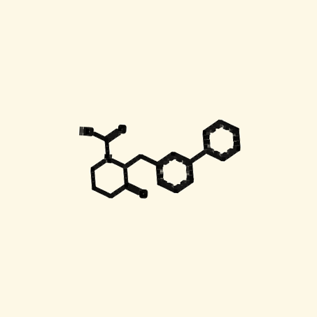 O=C1CCCN(C(=O)O)C1Cc1cccc(-c2ccccc2)c1